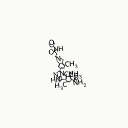 Cc1cc(-c2cnc3[nH]cc(-c4c(C)cc(C(N)=O)c(C)c4C)c3n2)cc2c1CCN(CCC(=O)NC1CCOC1)C2